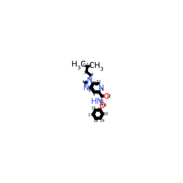 CC(C)CCn1cnc2cc(C(=O)NOc3ccccc3)ncc21